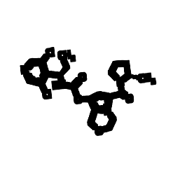 CC[C@@H](NC(=O)Oc1cc(C(=O)N2CCC[C@@H]2C)n2c1COCC2)c1c(Cl)cncc1Cl